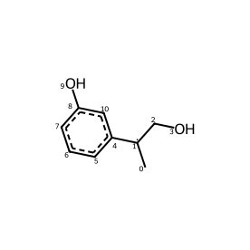 C[C](CO)c1cccc(O)c1